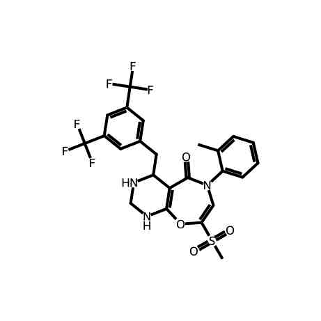 Cc1ccccc1N1C=C(S(C)(=O)=O)OC2=C(C1=O)C(Cc1cc(C(F)(F)F)cc(C(F)(F)F)c1)NCN2